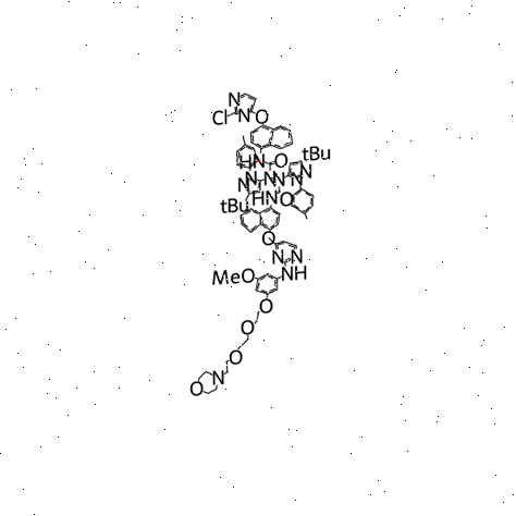 COc1cc(Nc2nccc(Oc3ccc(NC(=O)N(c4cc(C(C)(C)C)nn4-c4ccc(C)cc4)N(C(=O)Nc4ccc(Oc5ccnc(Cl)n5)c5ccccc45)c4cc(C(C)(C)C)nn4-c4ccc(C)cc4)c4ccccc34)n2)cc(OCCOCCOCCN2CCOCC2)c1